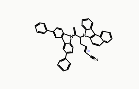 C=C(C(C/C=C/C#N)n1c2ccccc2c2c3ccccc3ccc21)n1c2ccc(-c3ccccc3)cc2c2cc(-c3ccccc3)ccc21